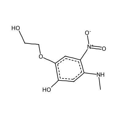 CNc1cc(O)c(OCCO)cc1[N+](=O)[O-]